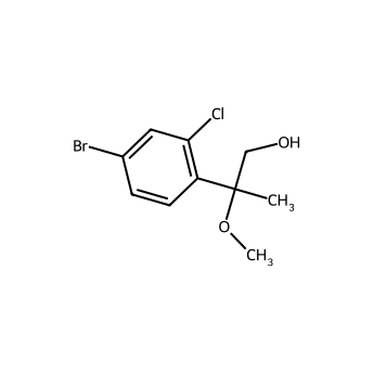 COC(C)(CO)c1ccc(Br)cc1Cl